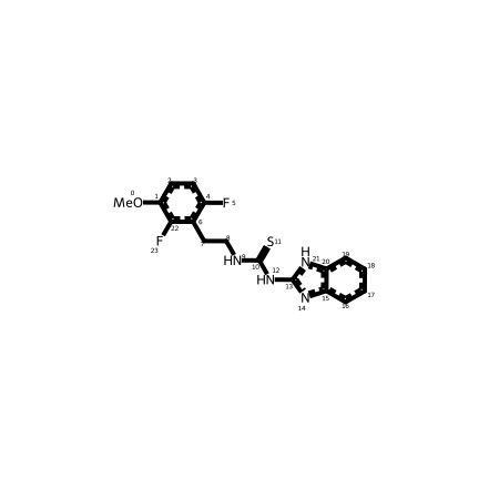 COc1ccc(F)c(CCNC(=S)Nc2nc3ccccc3[nH]2)c1F